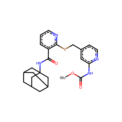 CC(C)(C)OC(=O)Nc1cc(CSc2ncccc2C(=O)NC23CC4CC(CC(C4)C2)C3)ccn1